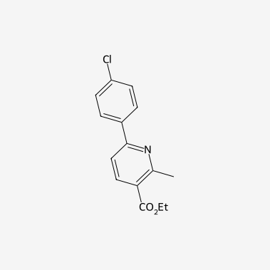 CCOC(=O)c1ccc(-c2ccc(Cl)cc2)nc1C